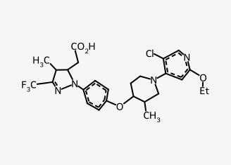 CCOc1cc(N2CCC(Oc3ccc(N4N=C(C(F)(F)F)C(C)C4CC(=O)O)cc3)C(C)C2)c(Cl)cn1